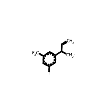 [CH2]C(C=C)c1cc(I)cc(C(F)(F)F)c1